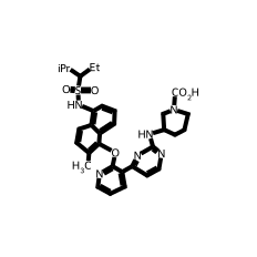 CCC(C(C)C)S(=O)(=O)Nc1cccc2c(Oc3ncccc3-c3ccnc(NC4CCCN(C(=O)O)C4)n3)c(C)ccc12